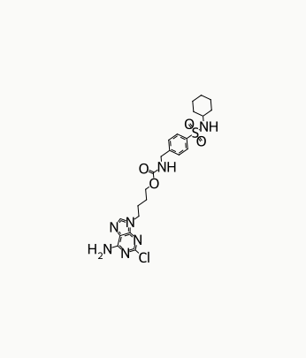 Nc1nc(Cl)nc2c1ncn2CCCCOC(=O)NCc1ccc(S(=O)(=O)NC2CCCCC2)cc1